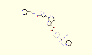 C=NN(/C(=N\N)N1CCN(C(=O)C(=O)c2c[nH]c3c(-c4cc(C(=O)NCCc5ccncc5)[nH]n4)ncc(F)c23)CC1)c1ccccc1